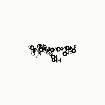 CC(C)c1ccccc1C1CN(Cc2c(F)cccc2F)CCN1C1CC2(CCN(c3ccc(C(=O)NS(=O)(=O)c4cc([N+](=O)[O-])c(NCC5(F)CCOCC5)c5c4OCO5)c(Oc4cnc5[nH]ccc5c4)c3)CC2)C1